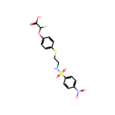 O=C(O)C(F)Oc1ccc(SCCNS(=O)(=O)c2ccc([N+](=O)[O-])cc2)cc1